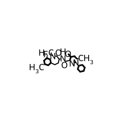 Cc1cc(F)c2c(c1)CCC(NC(=O)c1nn(-c3ccccc3)c(C)cc1=O)C(=O)N2C